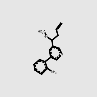 C=CCC(NC(=O)O)c1cncc(-c2ccccc2N)c1